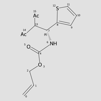 C=CCOC(=O)N[C@@H](c1cccs1)C(C(C)=O)C(C)=O